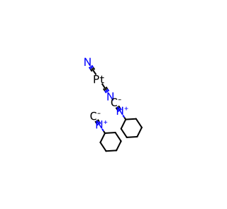 N#[C][Pt][C]#N.[C-]#[N+]C1CCCCC1.[C-]#[N+]C1CCCCC1